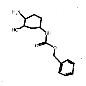 NC1CCC(NC(=O)OCc2ccccc2)CC1O